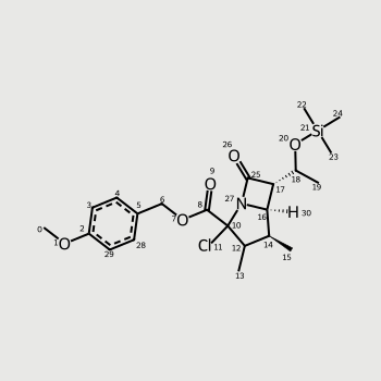 COc1ccc(COC(=O)C2(Cl)C(C)[C@H](C)[C@@H]3[C@@H](C(C)O[Si](C)(C)C)C(=O)N32)cc1